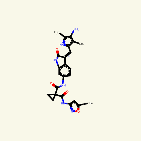 Cc1[nH]c(/C=C2\C(=O)Nc3cc(NC(=O)C4(C(=O)Nc5cc(C(C)(C)C)on5)CC4)ccc32)c(C)c1N